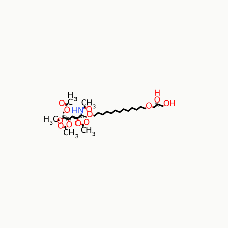 CO[C@H](COC(C)=O)[C@@H](C=C(OC(C)=O)[C@H](COCCCCCCCCCCCCCOC[C@H](O)CO)NC(C)=O)OC(C)=O